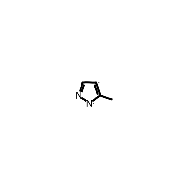 CC1=[C]C=N[N]1